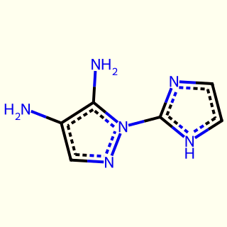 Nc1cnn(-c2ncc[nH]2)c1N